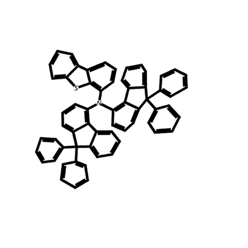 c1ccc(C2(c3ccccc3)c3ccccc3-c3c(N(c4cccc5c4-c4ccccc4C5(c4ccccc4)c4ccccc4)c4cccc5c4sc4ccccc45)cccc32)cc1